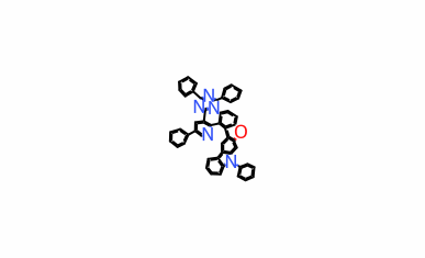 c1ccc(-c2cnc(-c3cccc4oc5cc6c(cc5c34)c3ccccc3n6-c3ccccc3)c(-c3nc(-c4ccccc4)nc(-c4ccccc4)n3)c2)cc1